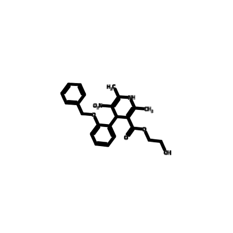 CC1=C(C(=O)OCCO)C(c2ccccc2OCc2ccccc2)C([N+](=O)[O-])=C(C)N1